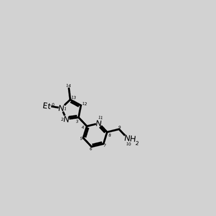 CCn1nc(-c2cccc(CN)n2)cc1C